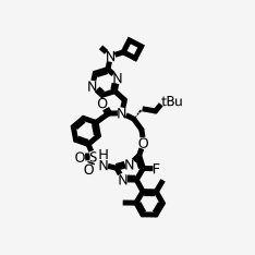 Cc1cccc(C)c1-c1nc2nc(c1F)OC[C@@H](CCC(C)(C)C)N(Cc1cncc(N(C)C3CCC3)n1)C(=O)c1cccc(c1)S(=O)(=O)N2